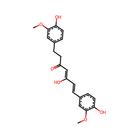 COc1cc(C=CC(O)=CC(=O)CCc2ccc(O)c(OC)c2)ccc1O